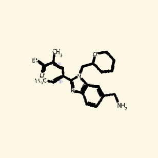 C/C=C(\C=C(\C)C(=O)CC)c1nc2ccc(CN)cc2n1CC1CCCCO1